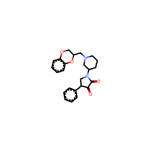 O=C1C(=O)N(C2CCCN(CC3COc4ccccc4O3)C2)CC1c1ccccc1